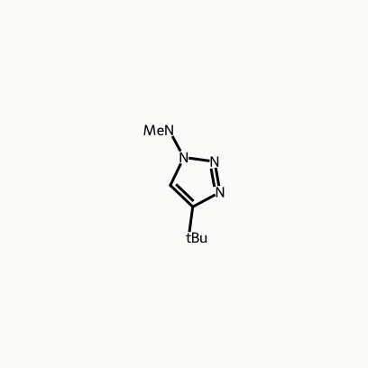 CNn1cc(C(C)(C)C)nn1